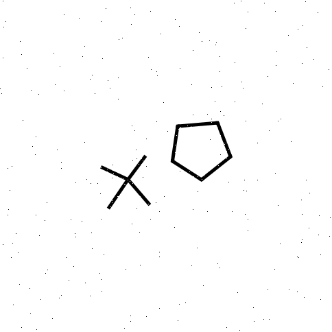 C1CCCC1.CC(C)(C)C